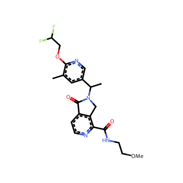 COCCNC(=O)c1nccc2c1CN(C(C)c1cnc(OCC(F)F)c(C)c1)C2=O